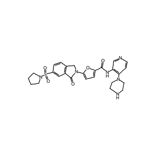 O=C(Nc1cnccc1N1CCNCC1)c1ccc(N2Cc3ccc(S(=O)(=O)N4CCCC4)cc3C2=O)o1